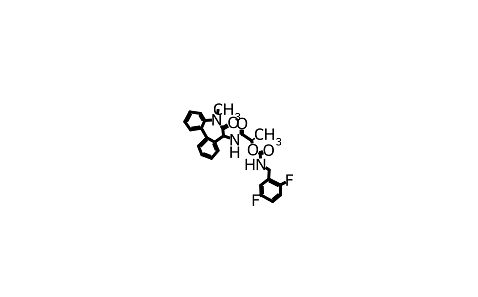 C[C@H](OC(=O)NCc1cc(F)ccc1F)C(=O)NC1C(=O)N(C)c2ccccc2-c2ccccc21